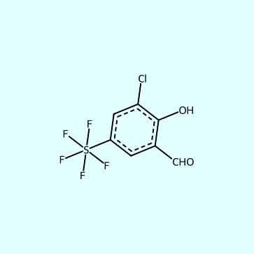 O=Cc1cc(S(F)(F)(F)(F)F)cc(Cl)c1O